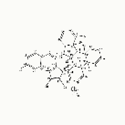 CC1=CC=CC2[CH](/[Zr+2](=[CH]/c3ccc(C)cc3)[C]3=C(C)C(C)=C(C)C3C)C3(C)C4(C)C=CC=CC4(C)C4(C)C=CC=CC4(C)C3(C)C12C.[Cl-].[Cl-]